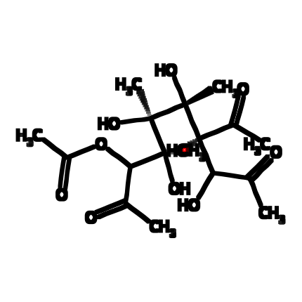 CC(=O)OC(C(C)=O)[C@](C)(O)[C@@](C)(O)[C@](C)(O)[C@@](O)(C(C)=O)C(O)C(C)=O